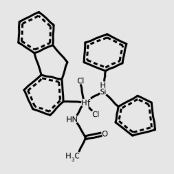 CC(=O)[NH][Hf]([Cl])([Cl])([c]1cccc2c1Cc1ccccc1-2)[SiH](c1ccccc1)c1ccccc1